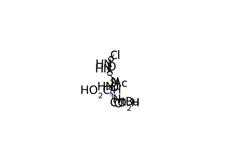 CC(=O)N1CC(c2ccc(NC(=O)Nc3ccc(Cl)cc3)cc2)CC1C(=O)NC(C/C=C/CC(NC(=O)CC(C)(C)C)C(=O)O)C(=O)O